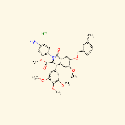 COC(=O)c1c(-c2cc(OC)c(OC)c(OC)c2)c2cc(OC)c(OCc3cccc(C)c3)cc2c(=O)n1-c1ccc(N)cc1.Cl